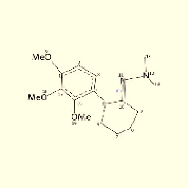 COc1ccc(C2CCCC/C2=N\N(C)C)c(OC)c1OC